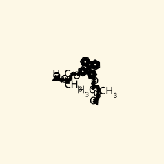 CC(COc1ccc(C2(c3ccc(OCC(C)CC(C)OCC4CO4)cc3)c3ccccc3-c3ccccc32)cc1)CC(C)OCC1CO1